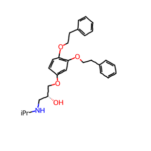 CC(C)NC[C@@H](O)COc1ccc(OCCc2ccccc2)c(OCCc2ccccc2)c1